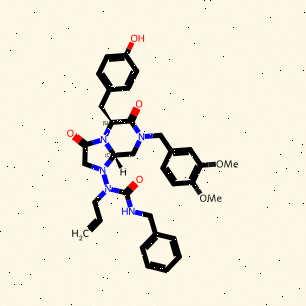 C=CCN(C(=O)NCc1ccccc1)N1CC(=O)N2[C@@H](Cc3ccc(O)cc3)C(=O)N(Cc3ccc(OC)c(OC)c3)C[C@@H]21